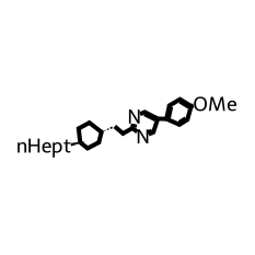 CCCCCCC[C@H]1CC[C@H](CCc2ncc(-c3ccc(OC)cc3)cn2)CC1